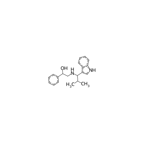 CC(C)C(NCC(O)c1ccccc1)c1c[nH]c2ccccc12